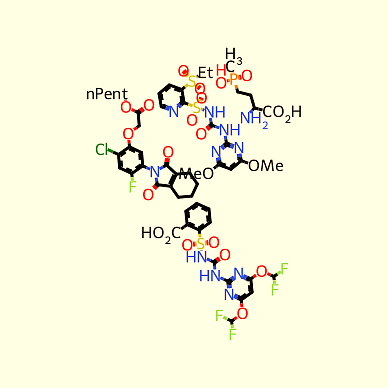 CCCCCOC(=O)COc1cc(N2C(=O)C3=C(CCCC3)C2=O)c(F)cc1Cl.CCS(=O)(=O)c1cccnc1S(=O)(=O)NC(=O)Nc1nc(OC)cc(OC)n1.CP(=O)(O)CCC(N)C(=O)O.O=C(Nc1nc(OC(F)F)cc(OC(F)F)n1)NS(=O)(=O)c1ccccc1C(=O)O